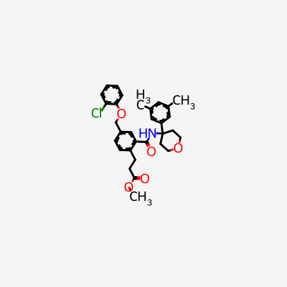 COC(=O)CCc1ccc(COc2ccccc2Cl)cc1C(=O)NC1(c2cc(C)cc(C)c2)CCOCC1